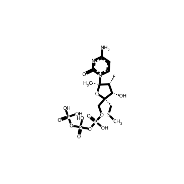 CSC[C@]1(COP(=O)(O)OP(=O)(O)OP(=O)(O)O)O[C@@](C)(n2ccc(N)nc2=O)[C@H](F)[C@@H]1O